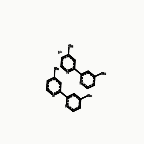 CC(C)(C)c1ccnc(-c2cc(C(C)(C)C)ccn2)c1.CC(C)(C)c1ccnc(-c2cc(C(C)(C)C)ccn2)c1.[Ir+3]